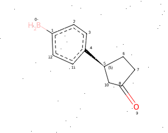 Bc1ccc([C@H]2CCC(=O)C2)cc1